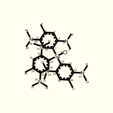 Cc1cc(N(C)C)c([Si](Cl)(c2cc(N(C)C)c(C)cc2N(C)C)c2cc(N(C)C)c(C)cc2N(C)C)cc1N(C)C